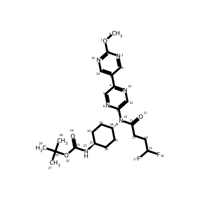 COc1ncc(-c2cnc(N(C(=O)CCC(F)F)[C@H]3CC[C@H](NC(=O)OC(C)(C)C)CC3)cn2)cn1